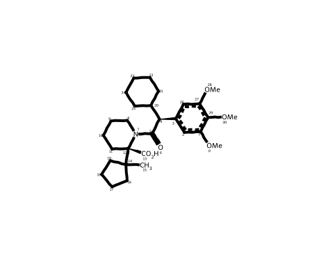 COc1cc([C@@H](C(=O)N2CCCC[C@@]2(C(=O)O)C2(C)CCCC2)C2CCCCC2)cc(OC)c1OC